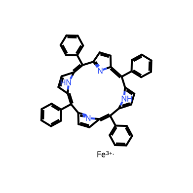 C1=Cc2nc1c(-c1ccccc1)c1ccc([nH]1)c(-c1ccccc1)c1nc(c(-c3ccccc3)c3ccc([nH]3)c2-c2ccccc2)C=C1.[Fe+3]